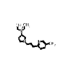 CCN(CC)C1CCN(C/C=C/c2ccc(C)cn2)C1